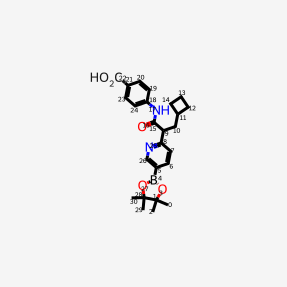 CC1(C)OB(c2ccc(C(CC3CCC3)C(=O)Nc3ccc(C(=O)O)cc3)nc2)OC1(C)C